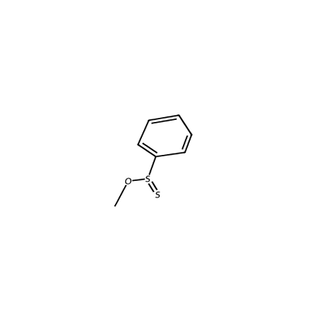 COS(=S)c1ccccc1